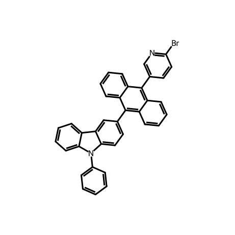 Brc1ccc(-c2c3ccccc3c(-c3ccc4c(c3)c3ccccc3n4-c3ccccc3)c3ccccc23)cn1